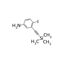 C[Si](C)(C)C#Cc1cc(N)ccc1I